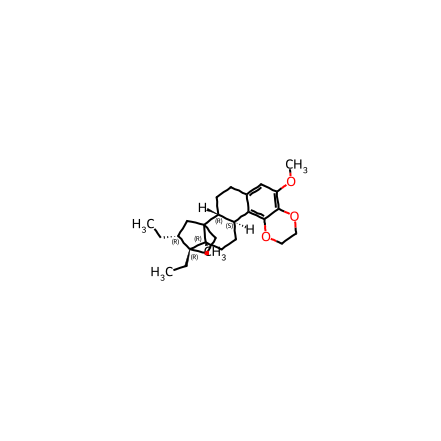 CC[C@@H]1CC23CC[C@@]1(CC)[C@@]2(C)CC[C@@H]1c2c(cc(OC)c4c2OCCO4)CC[C@H]13